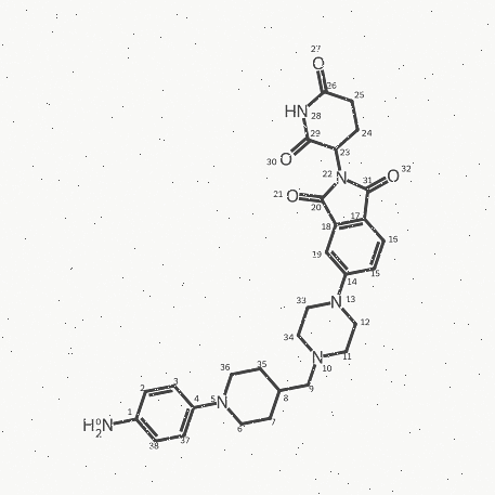 Nc1ccc(N2CCC(CN3CCN(c4ccc5c(c4)C(=O)N(C4CCC(=O)NC4=O)C5=O)CC3)CC2)cc1